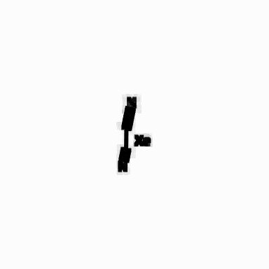 N#CC#N.[Xe]